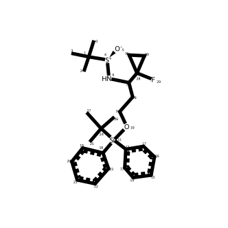 CC(C)(C)[S@@+]([O-])NC(CCO[Si](c1ccccc1)(c1ccccc1)C(C)(C)C)C1(F)CC1